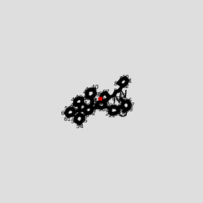 c1ccc(-c2cc(-c3ccccc3)nc(-c3cccc4oc5ccc(-c6ccc7c(c6)c6ccc8c(c6n7-c6ccccc6)-c6ccccc6C8(c6ccccc6)c6ccccc6)cc5c34)n2)cc1